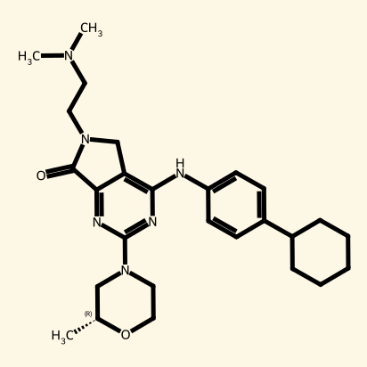 C[C@@H]1CN(c2nc(Nc3ccc(C4CCCCC4)cc3)c3c(n2)C(=O)N(CCN(C)C)C3)CCO1